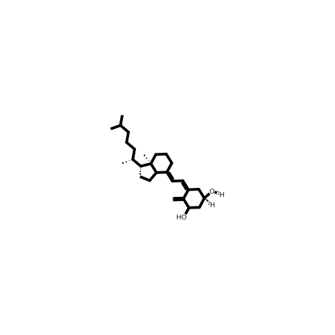 [2H]O[C@]1([2H])C/C(=C/C=C2CCC[C@@]3(C)C2CC[C@@H]3[C@H](C)CCCC(C)C)C(=C)C(O)C1